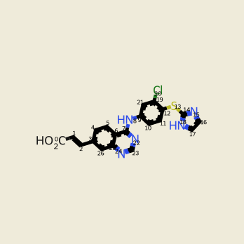 O=C(O)C=Cc1ccc2c(Nc3ccc(Sc4ncc[nH]4)c(Cl)c3)ncnc2c1